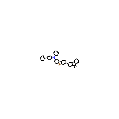 CC1(C)c2ccccc2-c2cc(-c3ccc4c(c3)sc3ccc(N(c5ccccc5)c5ccc(-c6ccccc6)cc5)cc34)ccc21